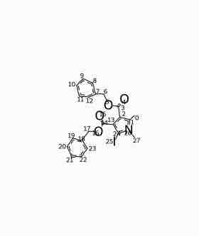 Cc1c(C(=O)OCc2ccccc2)c(C(=O)OCc2ccccc2)c(I)n1C